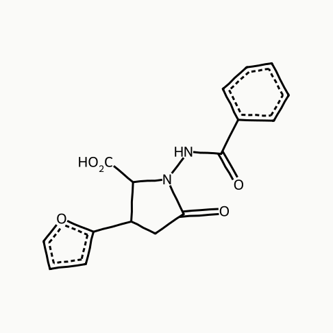 O=C(NN1C(=O)CC(c2ccco2)C1C(=O)O)c1ccccc1